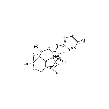 CO[C@@H]1CCC23CC[C@H]4C[C@@]4(C12)[C@H](O)C[C@@](C)(Sc1ccc(Cl)cc1)C(=O)[C@@H]3C